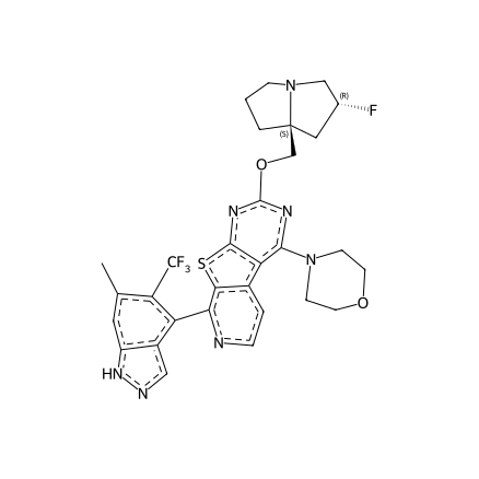 Cc1cc2[nH]ncc2c(-c2nccc3c2sc2nc(OC[C@@]45CCCN4C[C@H](F)C5)nc(N4CCOCC4)c23)c1C(F)(F)F